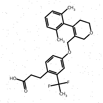 Cc1cccc(C)c1C1=C(COc2ccc(CCC(=O)O)c(C(C)(F)F)c2)COCC1